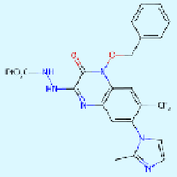 CCOC(=O)NNc1nc2cc(-n3ccnc3C)c(C(F)(F)F)cc2n(OCc2ccccc2)c1=O